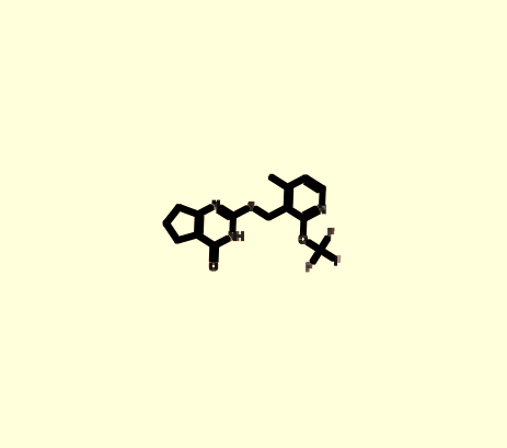 Cc1ccnc(OC(F)(F)F)c1CSc1nc2c(c(=O)[nH]1)CCC2